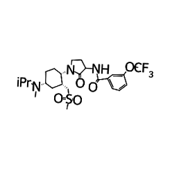 CC(C)N(C)[C@@H]1CC[C@H](N2CCC(NC(=O)c3cccc(OC(F)(F)F)c3)C2=O)[C@H](CS(C)(=O)=O)C1